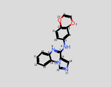 C1=COc2cc(Nc3nc4ccccc4n4cncc34)ccc2O1